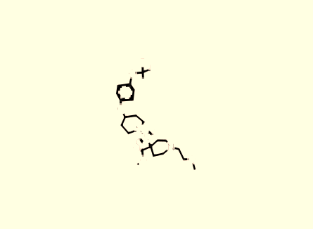 COCCN1CCC(C(=O)OC)(S(=O)(=O)N2CCC(Oc3ccc(OC(F)(F)F)cc3)CC2)CC1